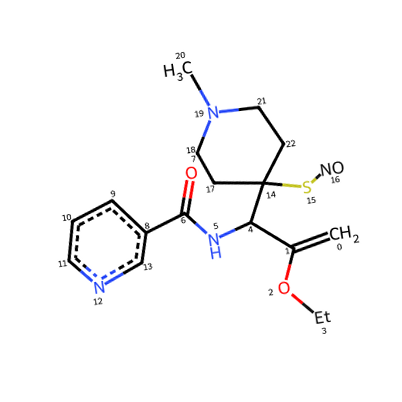 C=C(OCC)C(NC(=O)c1cccnc1)C1(SN=O)CCN(C)CC1